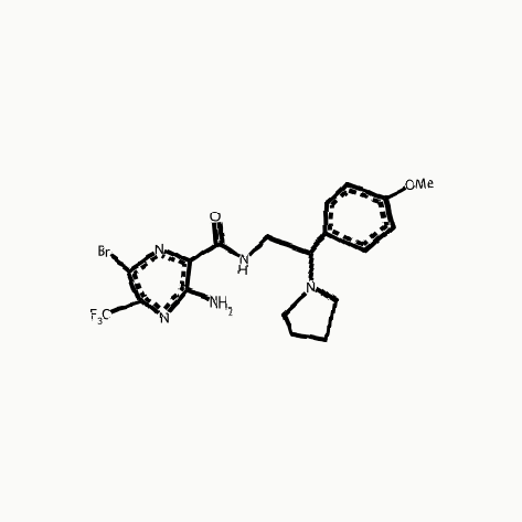 COc1ccc(C(CNC(=O)c2nc(Br)c(C(F)(F)F)nc2N)N2CCCC2)cc1